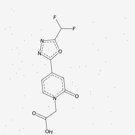 O=C(O)Cn1ccc(-c2nnc(C(F)F)o2)cc1=O